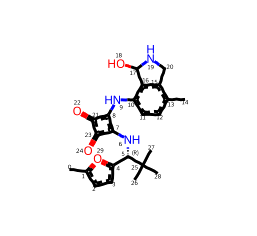 Cc1ccc([C@H](Nc2c(Nc3ccc(C)c4c3C(O)NC4)c(=O)c2=O)C(C)(C)C)o1